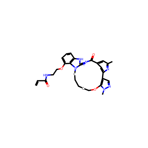 C=CC(=O)NCCOc1cccc2c1N1CCCCCOc3c(cnn3C)-c3cc(cc(C)n3)C(=O)/N=C/1N2